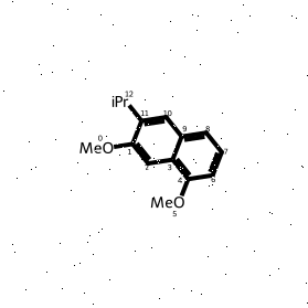 COc1cc2c(OC)cccc2cc1C(C)C